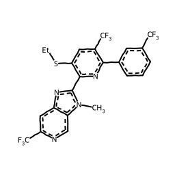 CCSc1cc(C(F)(F)F)c(-c2cccc(C(F)(F)F)c2)nc1-c1nc2cc(C(F)(F)F)ncc2n1C